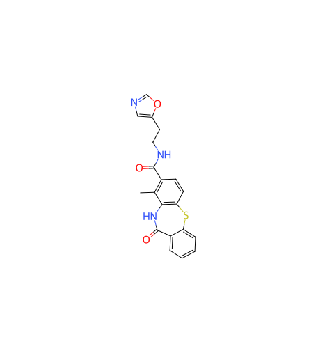 Cc1c(C(=O)NCCc2cnco2)ccc2c1NC(=O)c1ccccc1S2